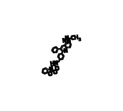 Cc1nnc2c3cc(-c4ccccc4)c(-c4ccc(CNC(=O)Cn5c(=O)oc6ccccc65)cc4)nc3ccn12